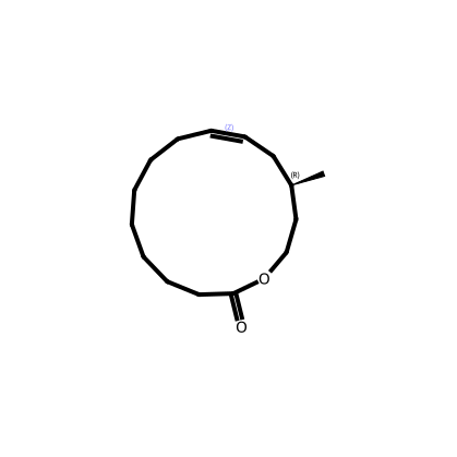 C[C@@H]1C/C=C\CCCCCCCC(=O)OCC1